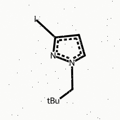 CC(C)(C)Cn1ccc(I)n1